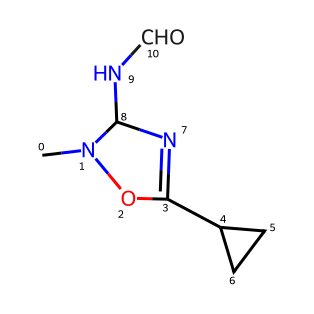 CN1OC(C2CC2)=NC1NC=O